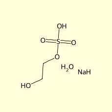 O.O=S(=O)(O)OCCO.[NaH]